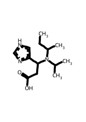 CCC(C)N(C(C)C)C(CC(=O)O)c1c[nH]cn1